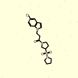 O=C(CCn1ccc2cc(Cl)ccc21)N1CCC(S(=O)(=O)N2CCCC2)C1